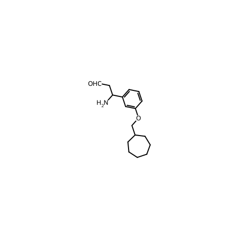 NC(CC=O)c1cccc(OCC2CCCCCC2)c1